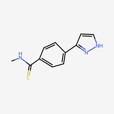 CNC(=S)c1ccc(-c2cc[nH]n2)cc1